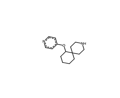 c1cc(OC2CCCCC23CCNCC3)ccn1